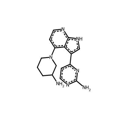 Nc1nccc(-c2c[nH]c3nccc(N4CCCC(N)C4)c23)n1